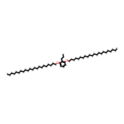 [CH2]CCc1c(OCCCCCCCCCCCCCCCCCCCCCC)cccc1OCCCCCCCCCCCCCCCCCCCCCC